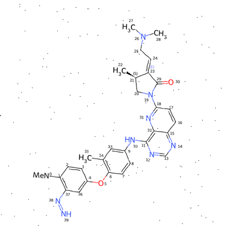 CNc1ccc(Oc2ccc(Nc3ncnc4ccc(N5C[C@@H](C)/C(=C\CN(C)C)C5=O)nc34)cc2C)cc1N=N